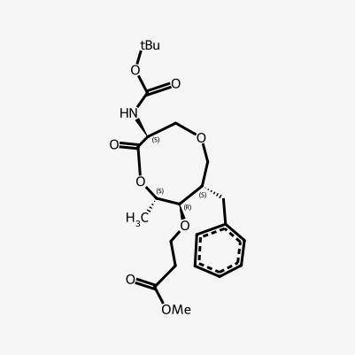 COC(=O)CCO[C@@H]1[C@@H](Cc2ccccc2)COC[C@H](NC(=O)OC(C)(C)C)C(=O)O[C@H]1C